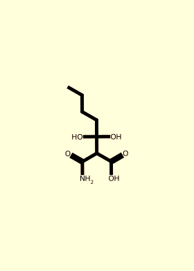 CCCCC(O)(O)C(C(N)=O)C(=O)O